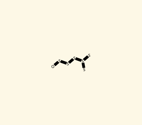 O=S=S=S=S(=S)=S